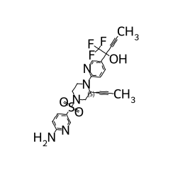 CC#C[C@H]1CN(S(=O)(=O)c2ccc(N)nc2)CCN1c1ccc(C(O)(C#CC)C(F)(F)F)cn1